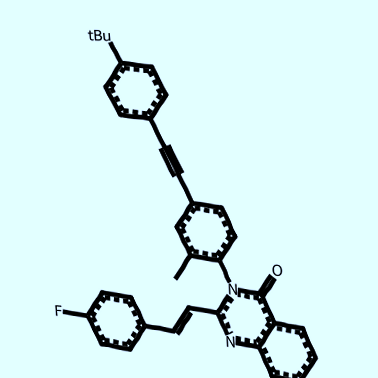 Cc1cc(C#Cc2ccc(C(C)(C)C)cc2)ccc1-n1c(/C=C/c2ccc(F)cc2)nc2ccccc2c1=O